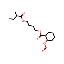 CCC(C)C(=O)OCCCCOC(=O)C1CCCCC1OC=O